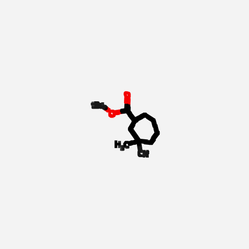 CC1(C#N)CCCCC(C(=O)OC(C)(C)C)C1